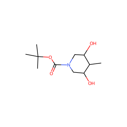 CC1C(O)CN(C(=O)OC(C)(C)C)CC1O